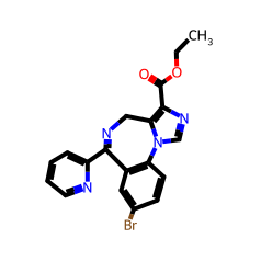 CCOC(=O)c1ncn2c1CN=C(c1ccccn1)c1cc(Br)ccc1-2